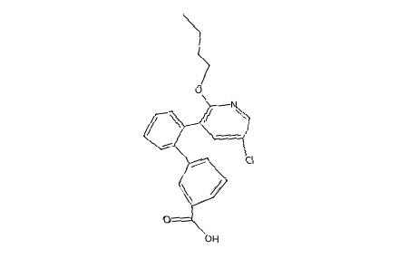 CCCCOc1ncc(Cl)cc1-c1ccccc1-c1cccc(C(=O)O)c1